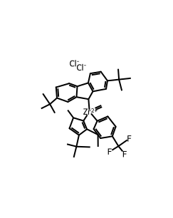 [CH2]=[Zr+2]([C]1=C(CC)C(C(C)(C)C)=CC1C)([c]1ccc(C(F)(F)F)cc1)[CH]1c2cc(C(C)(C)C)ccc2-c2ccc(C(C)(C)C)cc21.[Cl-].[Cl-]